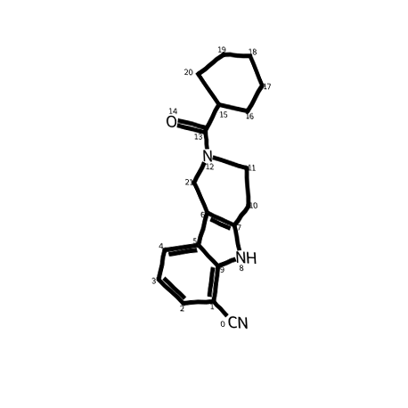 N#Cc1cccc2c3c([nH]c12)CCN(C(=O)C1CCCCC1)C3